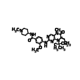 CC[C@@H]1C(=O)N(C)c2cnc(Nc3ccc(C(=O)NC4CCN(C)CC4)cc3OC)nc2N1C(C)(C)C